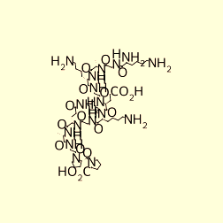 C[C@H](NC(=O)CNC(=O)[C@@H](N)CCCCN)C(=O)N[C@@H](CCCCN)C(=O)NCC(=O)N[C@@H](CCC(=O)O)C(=O)N[C@@H](CCCCN)C(=O)NCC(=O)N[C@@H](CCC(N)=O)C(=O)N[C@@H](C)C(=O)NCC(=O)N1CCC[C@H]1C(=O)N1CCC[C@H]1C(=O)O